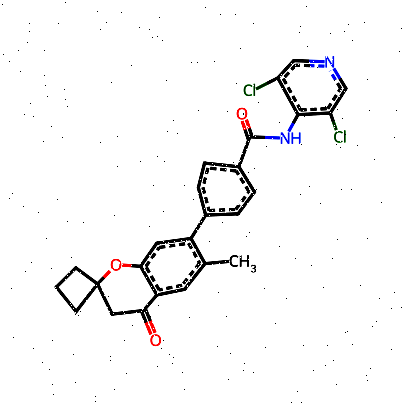 Cc1cc2c(cc1-c1ccc(C(=O)Nc3c(Cl)cncc3Cl)cc1)OC1(CCC1)CC2=O